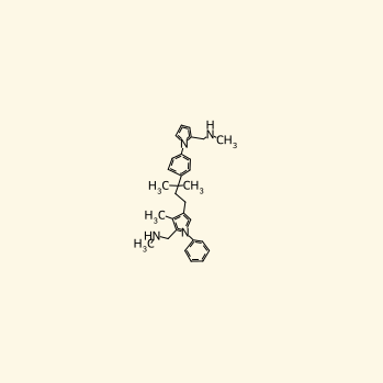 CNCc1cccn1-c1ccc(C(C)(C)CCc2cn(-c3ccccc3)c(CNC)c2C)cc1